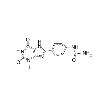 Cn1c(=O)c2[nH]c(-c3ccc(NC(N)=O)cc3)nc2n(C)c1=O